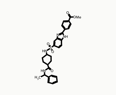 COC(=O)c1ccc(-c2nc3cc(S(=O)(=O)NC4CCC(C(=O)NC(C)c5ccccc5)CC4)ccc3[nH]2)cc1